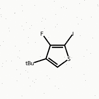 CC(C)(C)c1csc(I)c1F